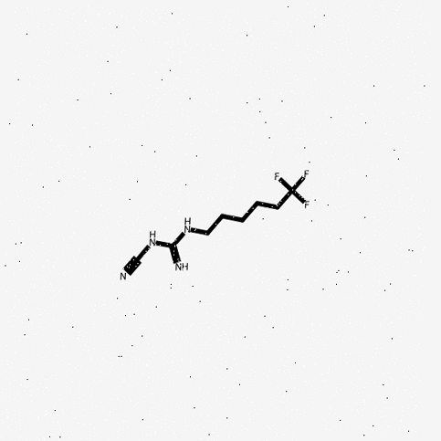 N#CNC(=N)NCCCCCC(F)(F)F